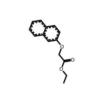 CCOC(=O)COc1ccc2ccccc2c1